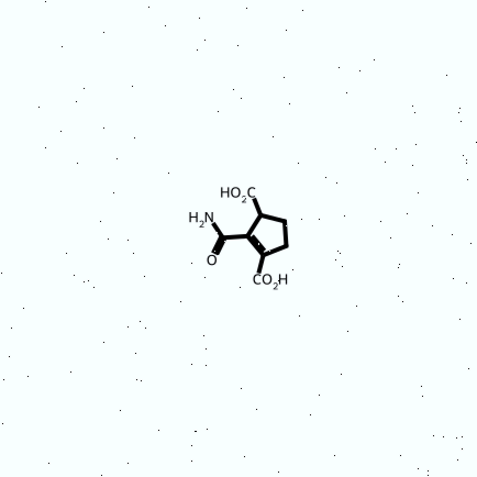 NC(=O)C1=C(C(=O)O)CCC1C(=O)O